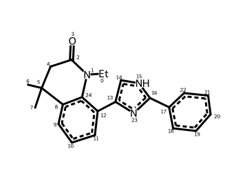 CCN1C(=O)CC(C)(C)c2cccc(-c3c[nH]c(-c4ccccc4)n3)c21